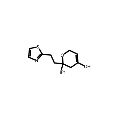 CC(C)C1(CCc2nccs2)CC(O)=CCO1